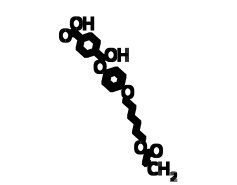 C=CC(=O)OCCCCCCOc1ccc(OC(O)C2CCC(C(=O)O)CC2)cc1